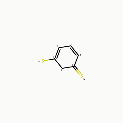 [S]C1=CC=CC(=S)C1